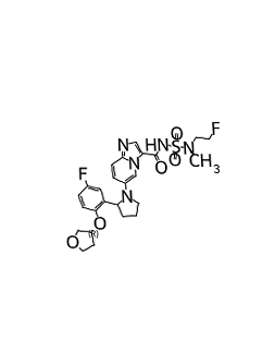 CN(CCF)S(=O)(=O)NC(=O)c1cnc2ccc(N3CCCC3c3cc(F)ccc3O[C@@H]3CCOC3)cn12